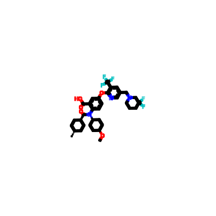 CO[C@H]1CC[C@H](N(c2ccc(Oc3ncc(CN4CCCC(F)(F)C4)cc3C(F)(F)F)cc2C(=O)O)C(=O)[C@H]2CC[C@H](C)CC2)CC1